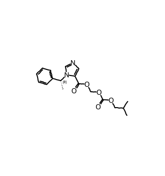 CC(C)COC(=O)OCOC(=O)c1cncn1[C@H](C)c1ccccc1